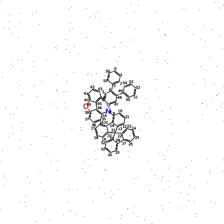 c1ccc(-c2ccc(N(c3cccc4c3-c3ccccc3C43c4ccccc4-c4ccccc43)c3cccc4oc5ccccc5c34)cc2-c2ccccc2)cc1